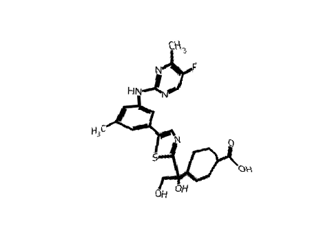 Cc1cc(Nc2ncc(F)c(C)n2)cc(-c2cnc(C(O)(CO)C3CCC(C(=O)O)CC3)s2)c1